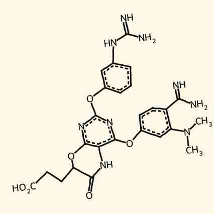 CN(C)c1cc(Oc2nc(Oc3cccc(NC(=N)N)c3)nc3c2NC(=O)C(CCC(=O)O)O3)ccc1C(=N)N